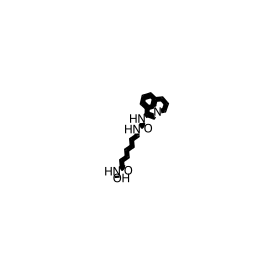 O=C(CCCCCCNC(=O)Nc1cn2c3c(cccc13)CCC2)NO